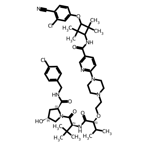 CC(C)[C@H](OCCN1CCN(c2ccc(C(=O)NC3C(C)(C)C(Oc4ccc(C#N)c(Cl)c4)C3(C)C)cn2)CC1)C(=O)N[C@H](C(=O)N1C[C@H](O)C[C@H]1C(=O)NCc1ccc(Cl)cc1)C(C)(C)C